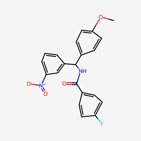 COc1ccc(C(NC(=O)c2ccc(F)cc2)c2cccc([N+](=O)[O-])c2)cc1